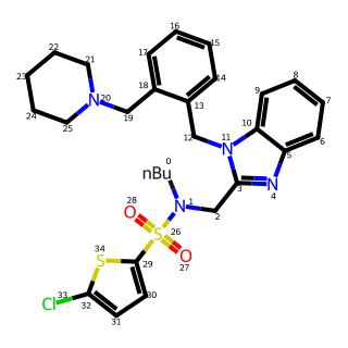 CCCCN(Cc1nc2ccccc2n1Cc1ccccc1CN1CCCCC1)S(=O)(=O)c1ccc(Cl)s1